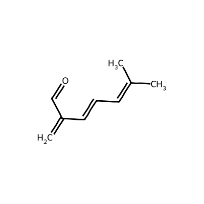 C=C(C=O)C=CC=C(C)C